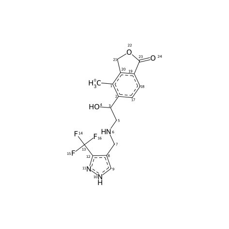 Cc1c(C(O)CNCc2c[nH]nc2C(F)(F)F)ccc2c1COC2=O